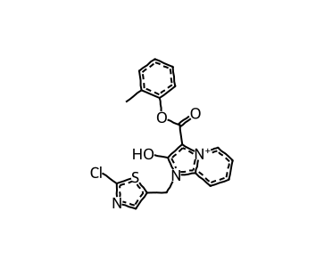 Cc1ccccc1OC(=O)c1c(O)n(Cc2cnc(Cl)s2)c2cccc[n+]12